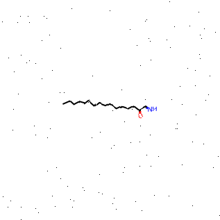 CCCCCCCCCCCCCCC(=O)C=N